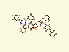 c1ccc(-c2ccc(N(c3ccccc3)c3ccc4c(c3)oc3cc(-c5ccccc5-c5nc(-c6ccccc6)nc(-c6ccccc6)n5)ccc34)cc2)cc1